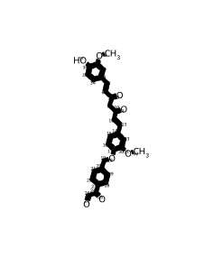 COc1cc(C=CC(=O)CC(=O)C=Cc2ccc(OCc3ccc(C(=O)C=O)cc3)c(OC)c2)ccc1O